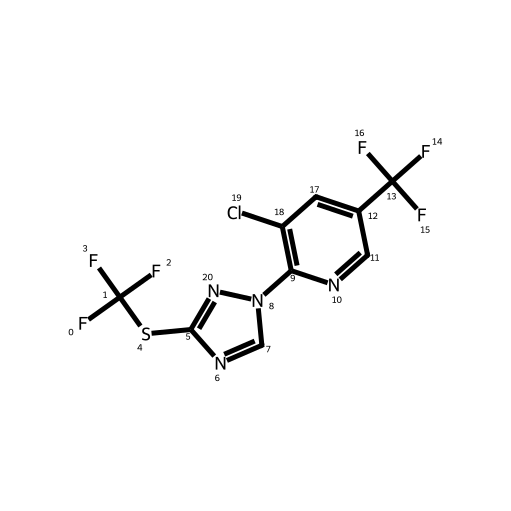 FC(F)(F)Sc1ncn(-c2ncc(C(F)(F)F)cc2Cl)n1